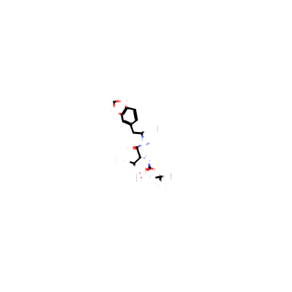 CC(C)[C@H](NC(=O)OC(C)(C)C)C(=O)N(C)C(C)Cc1ccc2c(c1)OCO2